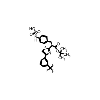 CC(C)(C)OC(=O)[C@H](Cc1ccc(NS(=O)(=O)O)cc1)c1nc(-c2cccc(C(F)(F)F)c2)cs1